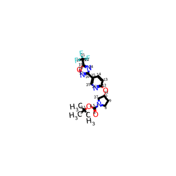 CC(C)(C)OC(=O)N1CC[C@@H](Oc2ccc(-c3noc(C(F)(F)F)n3)cn2)C1